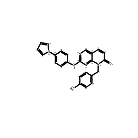 Cc1ccc(Cn2c(=O)ccc3cnc(Nc4ccc(-n5cccn5)cc4)nc32)cc1